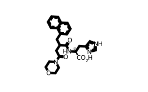 O=C(N[C@@H](Cc1c[nH]cn1)C(=O)O)C(CC(=O)N1CCOCC1)Cc1cccc2ccccc12